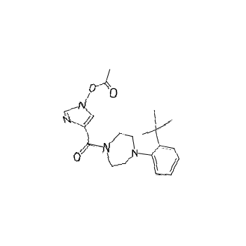 CC(=O)On1cnc(C(=O)N2CCN(c3ccccc3C(C)(C)C)CC2)c1